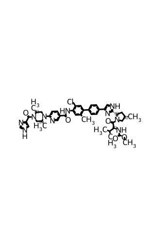 COC(=O)N[C@H](C(=O)N1C[C@@H](C)C[C@H]1c1nc(-c2ccc(-c3cc(Cl)c(NC(=O)c4ccc(N5C[C@H](C)N(C(=O)c6c[nH]cn6)C[C@H]5C)nc4)cc3C)cc2)c[nH]1)C(C)C